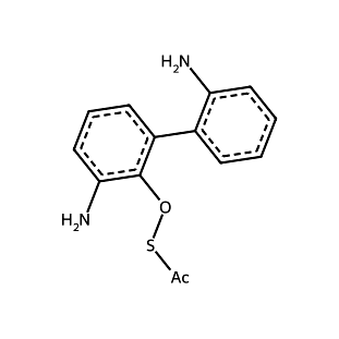 CC(=O)SOc1c(N)cccc1-c1ccccc1N